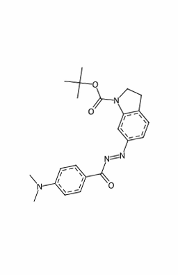 CN(C)c1ccc(C(=O)N=Nc2ccc3c(c2)N(C(=O)OC(C)(C)C)CC3)cc1